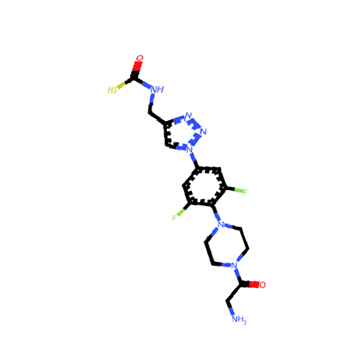 NCC(=O)N1CCN(c2c(F)cc(-n3cc(CNC(=O)S)nn3)cc2F)CC1